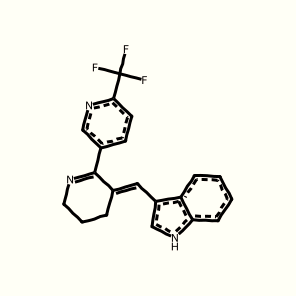 FC(F)(F)c1ccc(C2=NCCCC2=Cc2c[nH]c3ccccc23)cn1